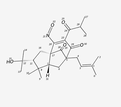 CC(C)=CCC12C[C@@H]3C(C)(C)[C@H](C(C)(C)O)C[C@@]3(C1=O)C(N=O)=C(C(=O)C(C)C)C2=O